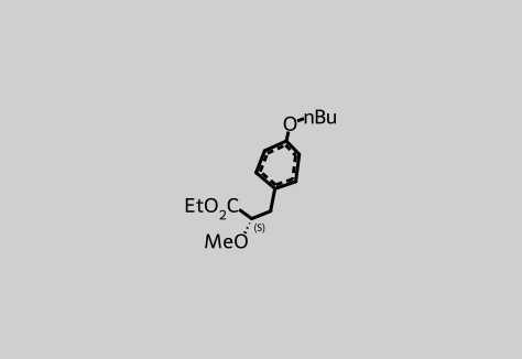 CCCCOc1ccc(C[C@H](OC)C(=O)OCC)cc1